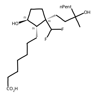 CCCCCC(C)(O)CC[C@@]1([C](F)F)CC[C@H](O)[C@H]1CCCCCCC(=O)O